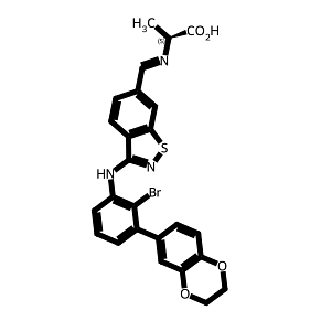 C[C@H](N=Cc1ccc2c(Nc3cccc(-c4ccc5c(c4)OCCO5)c3Br)nsc2c1)C(=O)O